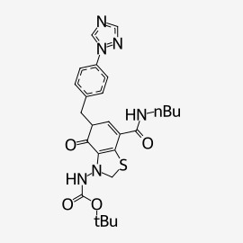 CCCCNC(=O)C1=CC(Cc2ccc(-n3cncn3)cc2)C(=O)C2=C1SCN2NC(=O)OC(C)(C)C